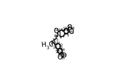 CN(CCCN1CCc2cc3c(cc2CC1=O)OCO3)C1CCc2cc3c(cc2C1)OCO3